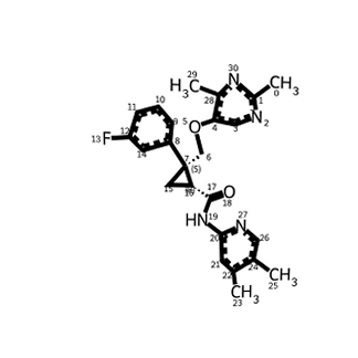 Cc1ncc(OC[C@@]2(c3cccc(F)c3)C[C@H]2C(=O)Nc2cc(C)c(C)cn2)c(C)n1